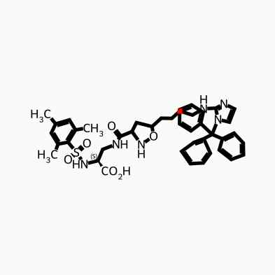 Cc1cc(C)c(S(=O)(=O)N[C@@H](CNC(=O)C2CC(CCCCNc3nccn3C(c3ccccc3)(c3ccccc3)c3ccccc3)ON2)C(=O)O)c(C)c1